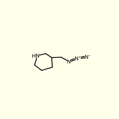 [N-]=[N+]=NCC1CCCNC1